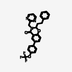 O=C1c2cc(-c3ccc(OC(F)(F)F)cc3)ccc2OC(CCc2ccccc2)N1Cc1ncccn1